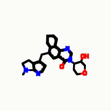 CN1CCc2c(Cc3cc4c(=O)n([C@H]5CCOC[C@@H]5O)cnc4c4ccccc34)ccnc21